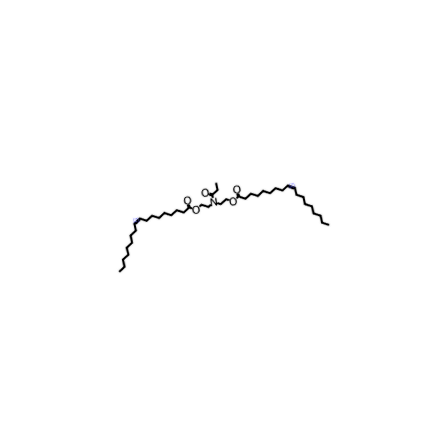 CCCCCCCC/C=C\CCCCCCCC(=O)OCCN(CCOC(=O)CCCCCCC/C=C\CCCCCCCC)C(=O)CC